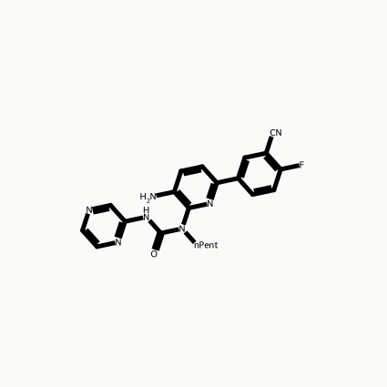 CCCCCN(C(=O)Nc1cnccn1)c1nc(-c2ccc(F)c(C#N)c2)ccc1N